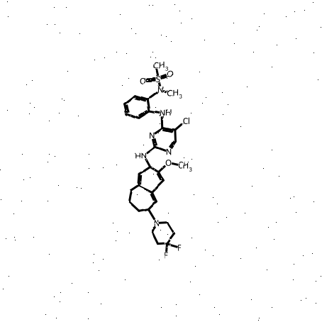 COC1=CC2=CC(N3CCC(F)(F)CC3)CCCC2=CC1Nc1ncc(Cl)c(Nc2ccccc2N(C)S(C)(=O)=O)n1